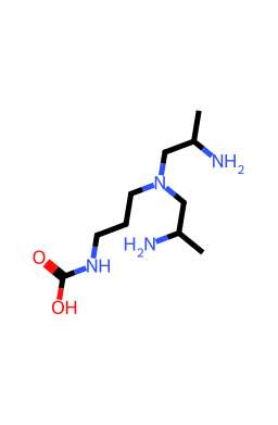 CC(N)CN(CCCNC(=O)O)CC(C)N